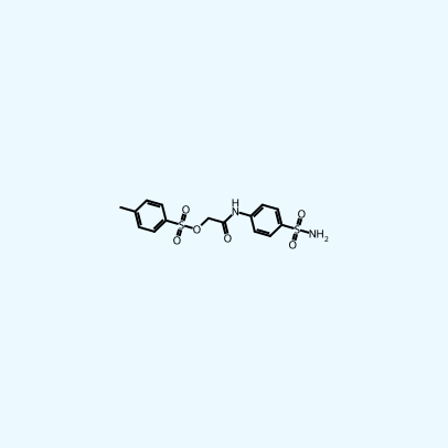 Cc1ccc(S(=O)(=O)OCC(=O)Nc2ccc(S(N)(=O)=O)cc2)cc1